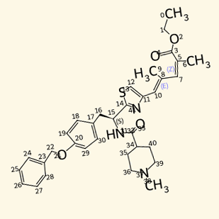 CCOC(=O)/C(C)=C\C(C)=C\c1csc([C@H](Cc2ccc(OCc3ccccc3)cc2)NC(=O)C2CCN(C)CC2)n1